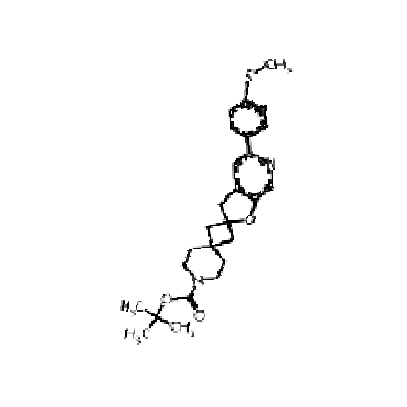 CSc1ccc(-c2cc3c(cn2)OC2(C3)CC3(CCN(C(=O)OC(C)(C)C)CC3)C2)cc1